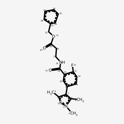 Cc1nn(C)c(C)c1-c1ccc(F)c(C(=O)NCCC(=O)OCc2ccccc2)c1